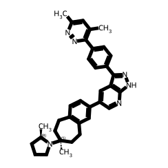 Cc1cc(C)c(-c2ccc(-c3n[nH]c4ncc(-c5ccc6c(c5)CC[C@@](C)(N5CCC[C@H]5C)CC6)cc34)cc2)nn1